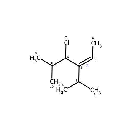 C/C=C(/C(C)C)C(Cl)C(C)C